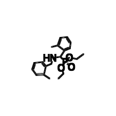 CCOP(=O)(OCC)C(NCc1ccccc1C)c1ccccc1C